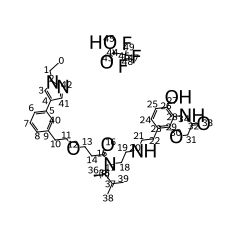 CCn1cc(-c2cccc(CCOCCC(=O)N(CCNCCc3ccc(O)c4c3OCC(=O)N4)[C@H](C)C(C)C)c2)cn1.O=C(O)C(F)(F)F